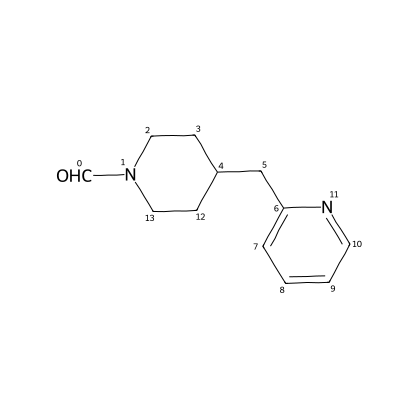 O=CN1CCC(Cc2ccccn2)CC1